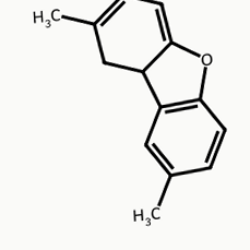 CC1=CC=C2Oc3ccc(C)cc3C2C1